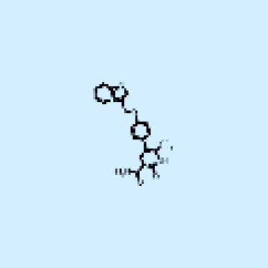 NC(=O)c1cc(-c2ccc(OCc3cnc4ccccn34)cc2)c(C(F)(F)F)[nH]c1=O